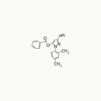 CCCc1cc(OC(=O)c2ccccc2)n(-c2ccc(C)cc2C)n1